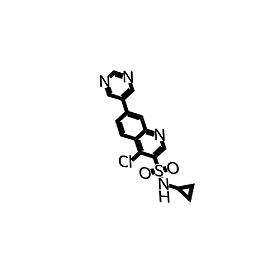 O=S(=O)(NC1CC1)c1cnc2cc(-c3cncnc3)ccc2c1Cl